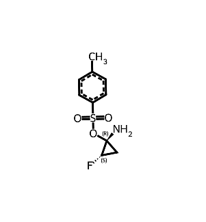 Cc1ccc(S(=O)(=O)O[C@]2(N)C[C@@H]2F)cc1